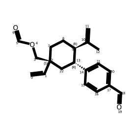 C=C[C@]1(COC=O)CC[C@@H](C(=C)C)[C@H](c2ccc(C=O)cc2)C1